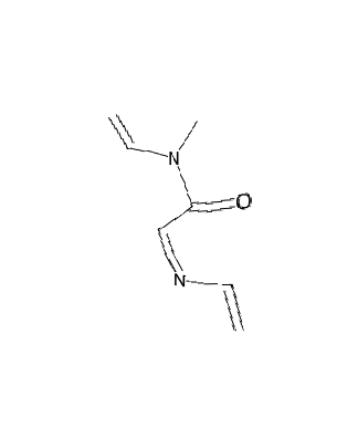 C=C/N=C\C(=O)N(C)C=C